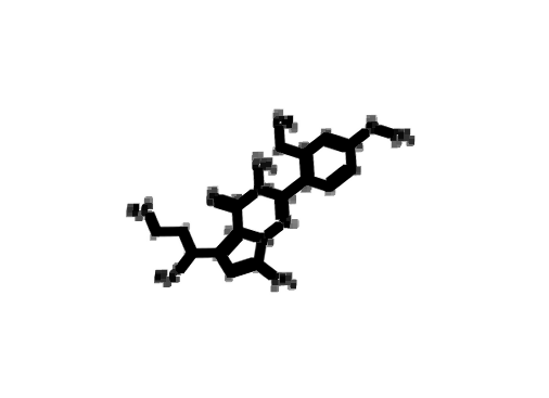 CCCC(C)c1cc(C)n2nc(-c3ccc(OC)cc3CC)n(C)c(=O)c12